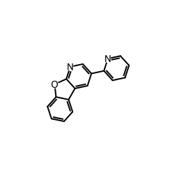 c1ccc(-c2cnc3oc4ccccc4c3c2)nc1